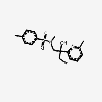 Cc1ccc(S(=O)(=O)N(C)CC(O)(CBr)c2cccc(C)n2)cc1